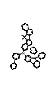 CC1(C)c2c(ccc3ccccc23)-c2ccc3cc(N(c4cccc(-c5ccccc5)c4)c4ccc5c(c4)C(c4ccccc4)(c4ccccc4)c4ccccc4-5)ccc3c21